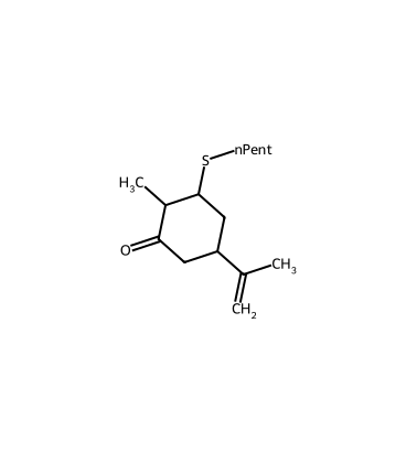 C=C(C)C1CC(=O)C(C)C(SCCCCC)C1